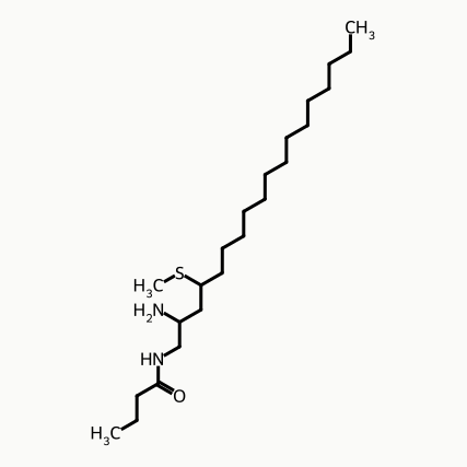 CCCCCCCCCCCCCCC(CC(N)CNC(=O)CCC)SC